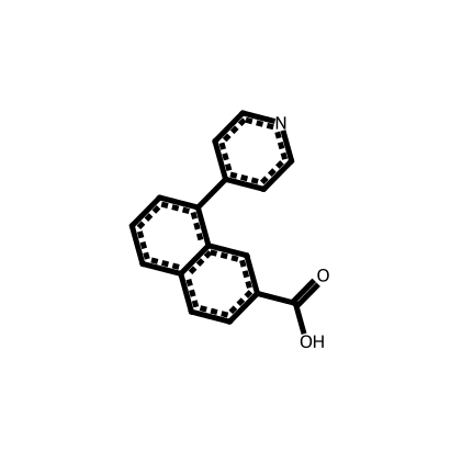 O=C(O)c1ccc2cccc(-c3ccncc3)c2c1